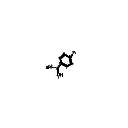 CCC[C@@H](O)c1ccc(F)cc1